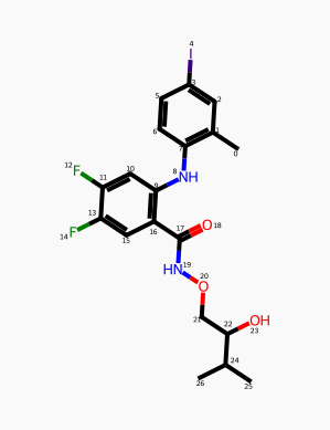 Cc1cc(I)ccc1Nc1cc(F)c(F)cc1C(=O)NOCC(O)C(C)C